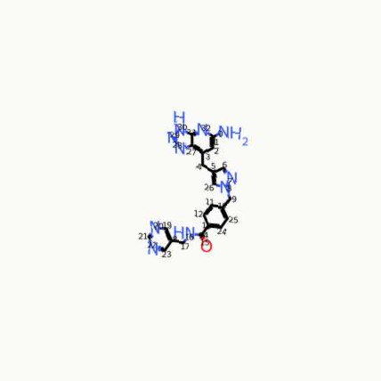 Nc1cc(Cc2cnn(Cc3ccc(C(=O)NCc4cncnc4)cc3)c2)c2nn[nH]c2n1